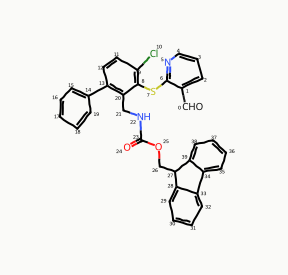 O=Cc1cccnc1Sc1c(Cl)ccc(-c2ccccc2)c1CNC(=O)OCC1c2ccccc2-c2ccccc21